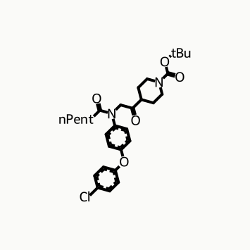 CCCCCC(=O)N(CC(=O)C1CCN(C(=O)OC(C)(C)C)CC1)c1ccc(Oc2ccc(Cl)cc2)cc1